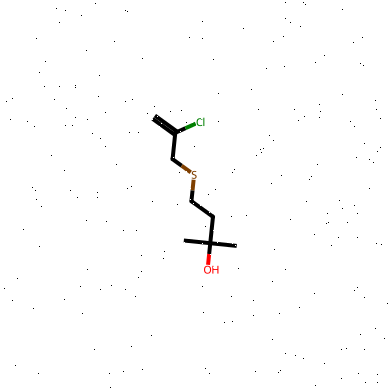 C=C(Cl)CSCCC(C)(C)O